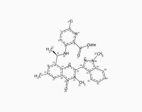 COC(=O)c1nc(Cl)ccc1N[C@H](C)c1cc(C)cc2c(=O)n(C)c(-c3nn(C)c4ccccc34)nc12